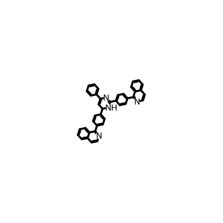 C1=C(c2ccccc2)N=C(c2ccc(-c3nccc4ccccc34)cc2)NC1c1ccc(-c2nccc3ccccc23)cc1